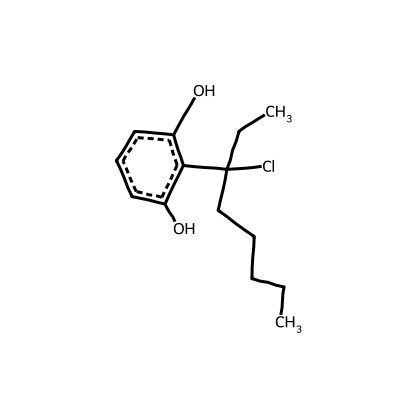 CCCCCC(Cl)(CC)c1c(O)cccc1O